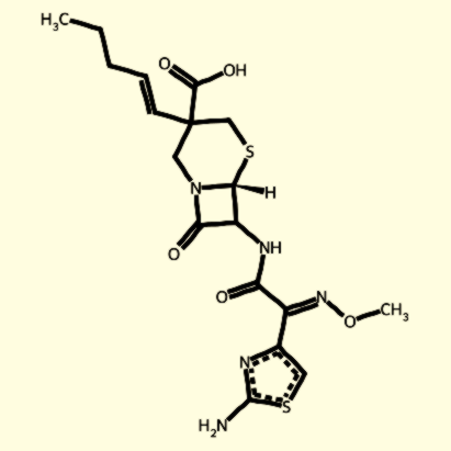 CCCC=CC1(C(=O)O)CS[C@@H]2C(NC(=O)C(=NOC)c3csc(N)n3)C(=O)N2C1